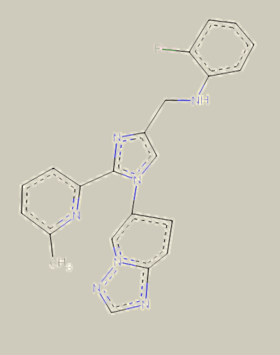 Cc1cccc(-c2nc(CNc3ccccc3F)cn2-c2ccc3ncnn3c2)n1